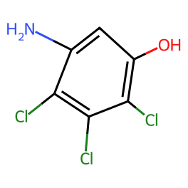 Nc1cc(O)c(Cl)c(Cl)c1Cl